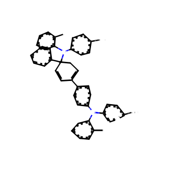 CCCCc1ccc(N(c2ccc(C3=CCC(c4ccccc4)(N(c4ccc(CCCC)cc4)c4ccccc4C)C=C3)cc2)c2ccccc2C)cc1